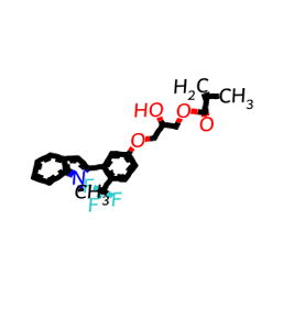 C=C(C)C(=O)OCC(O)COc1ccc(C(F)(F)F)c(-c2cc3ccccc3n2C)c1